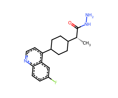 C[C@@H](C(=O)NN)C1CCC(c2ccnc3ccc(F)cc23)CC1